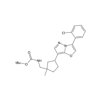 CC1(CNC(=O)OC(C)(C)C)CCC(c2cnn3c(-c4ccccc4Cl)coc23)C1